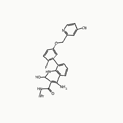 CCCNC(=O)C1=C(N)c2cccc(-c3cc(OCc4cc(C#N)ccn4)ccc3F)c2NC1O